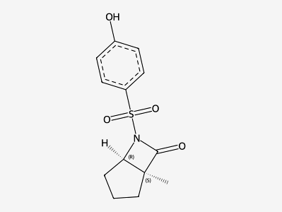 C[C@]12CCC[C@H]1N(S(=O)(=O)c1ccc(O)cc1)C2=O